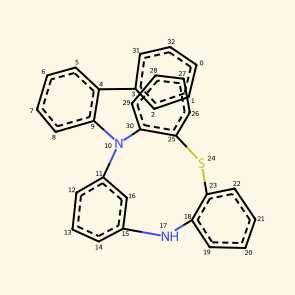 c1ccc(-c2ccccc2N2c3cccc(c3)Nc3ccccc3Sc3ccccc32)cc1